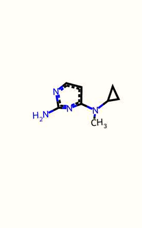 CN(c1ccnc(N)n1)C1CC1